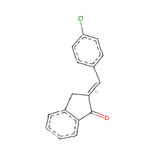 O=C1/C(=C/c2ccc(Cl)cc2)Cc2ccccc21